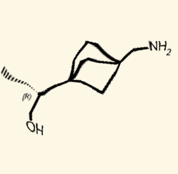 C[C@@H](O)C12CC(N)(C1)C2